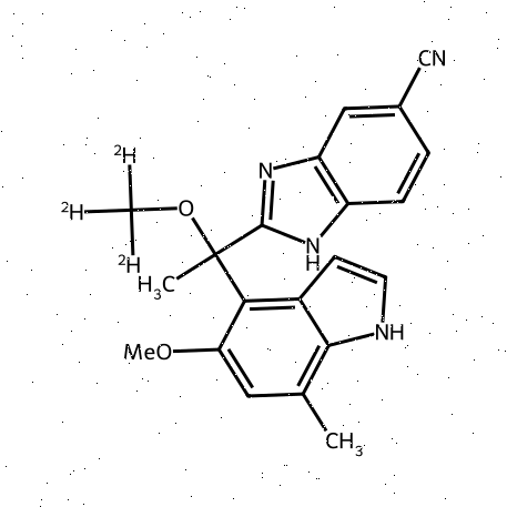 [2H]C([2H])([2H])OC(C)(c1nc2cc(C#N)ccc2[nH]1)c1c(OC)cc(C)c2[nH]ccc12